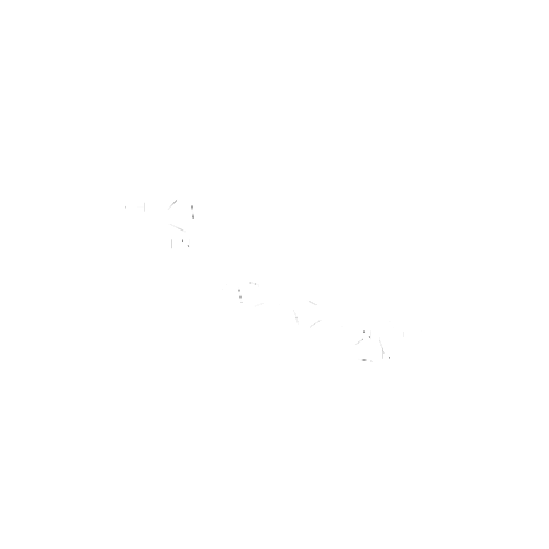 CCCOc1nccc(COc2ccc(C(C)(C)c3ccc(OCCCNc4ccc(C)c(C=O)c4)cc3)cc2)n1